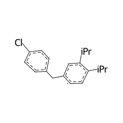 CC(C)c1c[c]c(Cc2ccc(Cl)cc2)cc1C(C)C